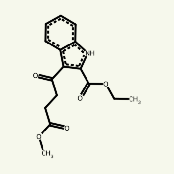 CCOC(=O)c1[nH]c2ccccc2c1C(=O)CCC(=O)OC